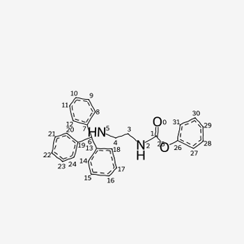 O=C(NCCNC(c1ccccc1)(c1ccccc1)c1ccccc1)Oc1ccccc1